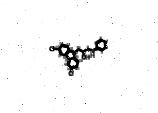 OC(CNc1ccccc1)Cn1c2ccc(Cl)cc2c2cc(Cl)ccc21